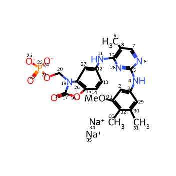 COc1cc(Nc2ncc(C)c(Nc3ccc4oc(=O)n(COP(=O)([O-])[O-])c4c3)n2)cc(C)c1C.[Na+].[Na+]